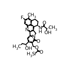 CC[C@H](O)c1cc2n(c(=O)c1COC(=O)[SiH3])Cc1c-2nc2cc(F)c(C)c3c2c1[C@H](NC(=O)[C@H](C)O)CC3